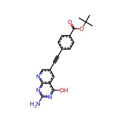 CC(C)(C)OC(=O)c1ccc(C#Cc2cnc3nc(N)nc(O)c3c2)cc1